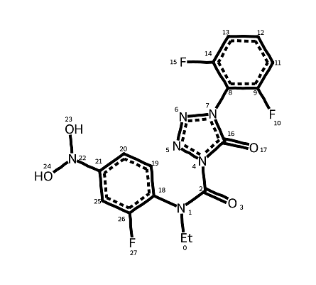 CCN(C(=O)n1nnn(-c2c(F)cccc2F)c1=O)c1ccc(N(O)O)cc1F